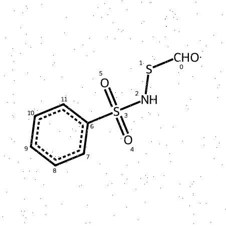 O=[C]SNS(=O)(=O)c1ccccc1